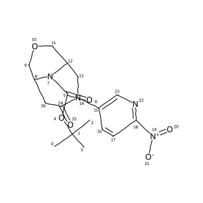 CC(C)(C)OC(=O)N1C2COCC1CN(c1ccc([N+](=O)[O-])nc1)C(=O)C2